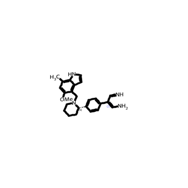 COc1cc(C)c2[nH]ccc2c1CN1CCCC[C@H]1c1ccc(/C(C=N)=C/N)cc1